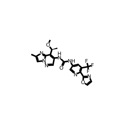 CO[C@@H](C)c1c(NC(=O)Nc2cnc(-c3ncco3)c(C(F)(F)F)c2)cnn2cc(C)nc12